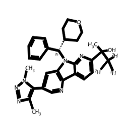 [2H]C([2H])([2H])C(C)(O)c1ccc2c3ncc(-c4c(C)nnn4C)cc3n([C@H](c3ccccc3)C3CCOCC3)c2n1